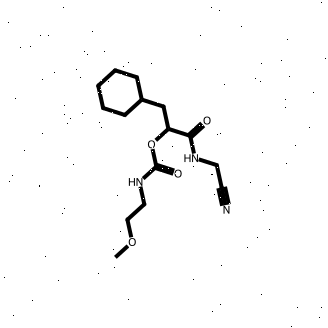 COCCNC(=O)OC(CC1CCCCC1)C(=O)NCC#N